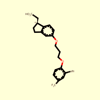 CCCc1cc(C(F)(F)F)ccc1OCCCOc1ccc2c(c1)CC[C@H]2CC(=O)O